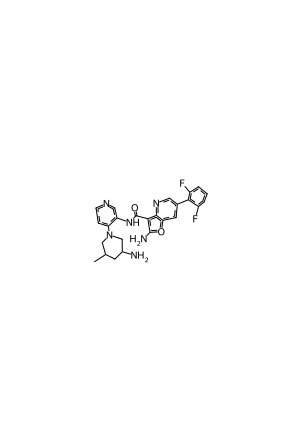 CC1CC(N)CN(c2ccncc2NC(=O)c2c(N)oc3cc(-c4c(F)cccc4F)cnc23)C1